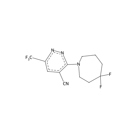 N#Cc1cc(C(F)(F)F)nnc1N1CCCC(F)(F)CC1